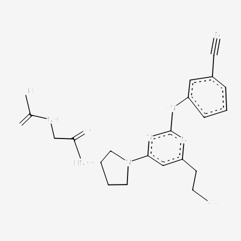 CCCc1cc(N2CC[C@H](NC(=O)CNC(=O)O)C2)nc(Nc2cccc(C#N)c2)n1